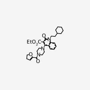 CCOC(=O)c1c(N2CCN(C(=O)C3=CCCO3)CC2)c2ccccc2n(CCC2CCCCC2)c1=O